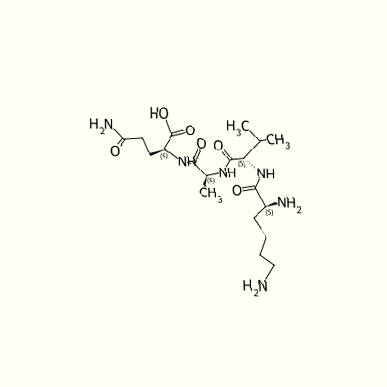 CC(C)[C@H](NC(=O)[C@@H](N)CCCCN)C(=O)N[C@@H](C)C(=O)N[C@@H](CCC(N)=O)C(=O)O